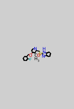 Cc1c(OCc2ccccc2F)ccnc1C[S+]([O-])c1nc2ccccc2[nH]1